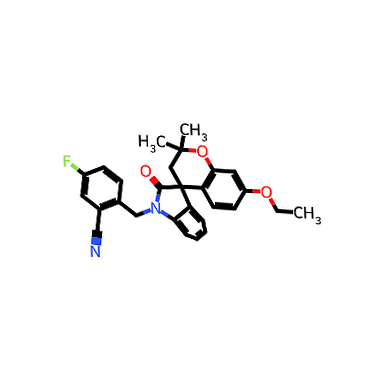 CCOc1ccc2c(c1)OC(C)(C)CC21C(=O)N(Cc2ccc(F)cc2C#N)c2ccccc21